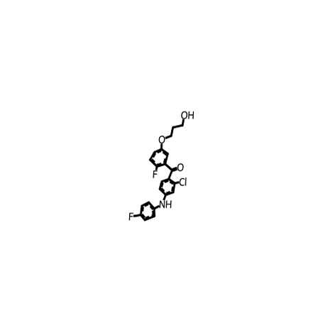 O=C(c1cc(OCCCO)ccc1F)c1ccc(Nc2ccc(F)cc2)cc1Cl